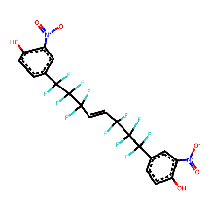 O=[N+]([O-])c1cc(C(F)(F)C(F)(F)C(F)(F)C=CC(F)(F)C(F)(F)C(F)(F)c2ccc(O)c([N+](=O)[O-])c2)ccc1O